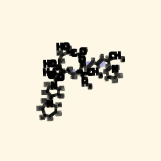 C/C(=C\C=C\C(C)c1ccccn1)[C@H]1OC(=O)C[C@@H](O)CC[C@](C)(O)[C@@H](OC(=O)N2CCC(N3CCCCCC3)CC2)/C=C/[C@@H]1C